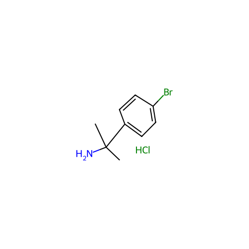 CC(C)(N)c1ccc(Br)cc1.Cl